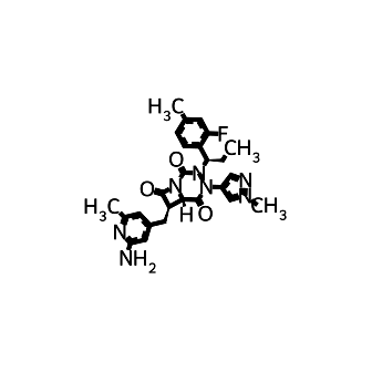 CC[C@H](c1ccc(C)cc1F)N1C(=O)N2C(=O)[C@H](Cc3cc(C)nc(N)c3)[C@H]2C(=O)N1c1cnn(C)c1